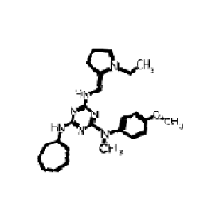 CCN1CCCC1CNc1nc(NC2CCCCCC2)nc(N(C)c2ccc(OC)cc2)n1